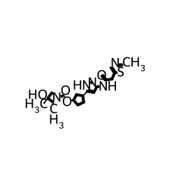 Cc1ncc(CC(=O)Nc2cc([C@H]3CC[C@@H](OC(=O)N4C[C@@](C)(O)[C@@H]4C)C3)[nH]n2)s1